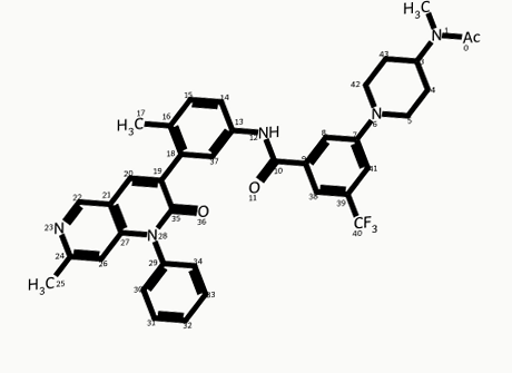 CC(=O)N(C)C1CCN(c2cc(C(=O)Nc3ccc(C)c(-c4cc5cnc(C)cc5n(-c5ccccc5)c4=O)c3)cc(C(F)(F)F)c2)CC1